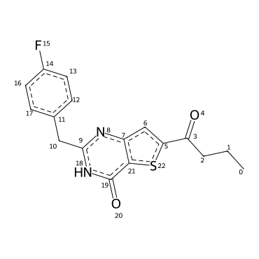 CCCC(=O)c1cc2nc(Cc3ccc(F)cc3)[nH]c(=O)c2s1